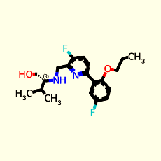 CCCOc1ccc(F)cc1-c1ccc(F)c(CN[C@@H](CO)C(C)C)n1